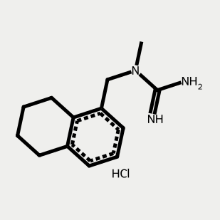 CN(Cc1cccc2c1CCCC2)C(=N)N.Cl